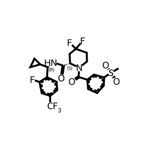 CS(=O)(=O)c1cccc(C(=O)N2CCC(F)(F)C[C@H]2C(=O)N[C@@H](c2ccc(C(F)(F)F)cc2F)C2CC2)c1